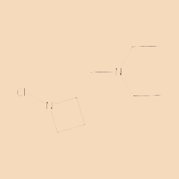 CCN(CC)C[C@@H]1CCN1Cl